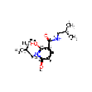 CC(C)CNC(=O)c1ccc(=O)n(CC(C)C)c1O